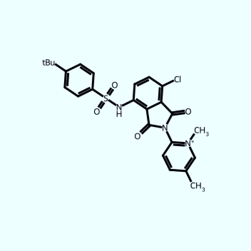 Cc1ccc(N2C(=O)c3c(Cl)ccc(NS(=O)(=O)c4ccc(C(C)(C)C)cc4)c3C2=O)[n+](C)c1